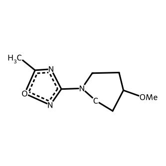 COC1CCN(c2noc(C)n2)CC1